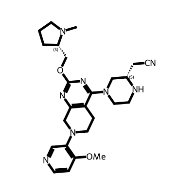 COc1ccncc1N1CCc2c(nc(OC[C@@H]3CCCN3C)nc2N2CCN[C@@H](CC#N)C2)C1